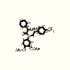 COc1ccc(N(CCc2ccc(C(F)(F)F)cc2)C(=O)[C@@H](OC)c2ccccc2)cc1OC